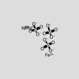 O=S(=O)([O-])[O-].O=S(=O)([O-])[O-].O=S(=O)([O-])[O-].[Fe+2].[Mg+2].[Ni+2]